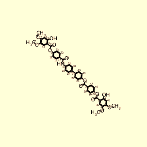 COc1cc(O)c(C(=O)Oc2ccc(C(=O)Nc3ccc(-c4ccc(OC(=O)c5ccc(OC(=O)c6cc(OC)c(OC)cc6O)cc5)cc4)cc3)cc2)cc1OC